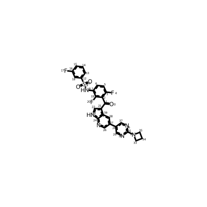 O=C(c1c(F)ccc(NS(=O)(=O)c2cccc(F)c2)c1F)c1c[nH]c2ncc(-c3cnc(N4CCC4)nc3)cc12